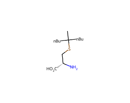 CCCCC(C)(CCCC)SC[C@H](N)C(=O)O